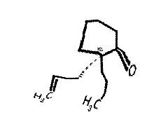 C=CC[C@]1(CC)CCCCC1=O